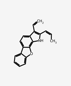 C=Cc1c(/C=C\C)[nH]c2c1ccc1c3ccccc3oc12